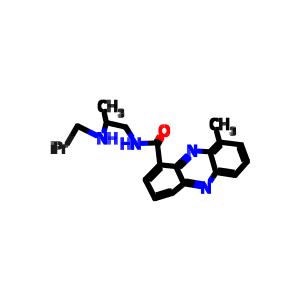 Cc1cccc2nc3cccc(C(=O)NCC(C)NCC(C)C)c3nc12